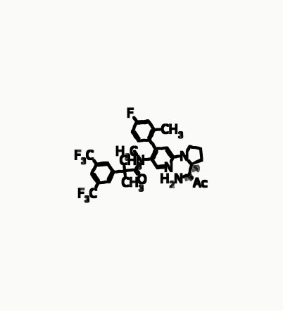 CC(=O)[C@@H](N)[C@@H]1CCCN1c1cc(-c2ccc(F)cc2C)c(N(C)C(=O)C(C)(C)c2cc(C(F)(F)F)cc(C(F)(F)F)c2)cn1